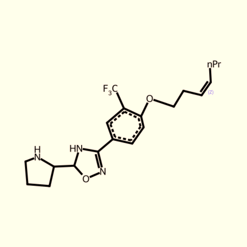 CCC/C=C\CCOc1ccc(C2=NOC(C3CCCN3)N2)cc1C(F)(F)F